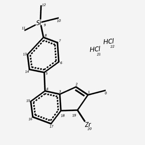 CC1=Cc2c(-c3ccc([Si](C)(C)C)cc3)cccc2[CH]1[Zr].Cl.Cl